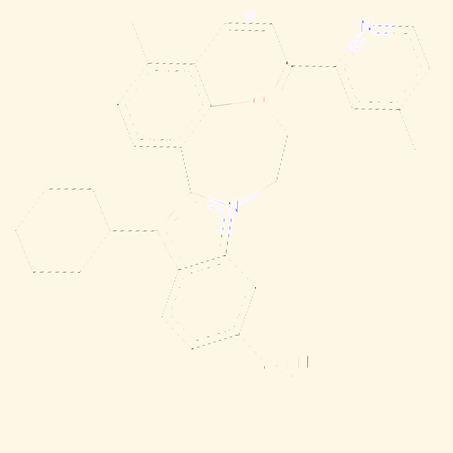 C=C(/C=C\c1c(C)ccc2c1OCCn1c-2c(C2CCCCC2)c2ccc(C(=O)O)cc21)c1cc(C)ccn1